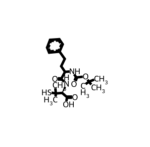 CC(C)(C)OC(=O)NC(CCc1ccccc1)C(=O)N[C@@H](C(=O)O)C(C)(C)S